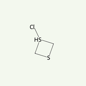 Cl[SH]1CSC1